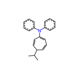 CC(C)C1C=CC=C(N(c2ccccc2)c2ccccc2)C=C1